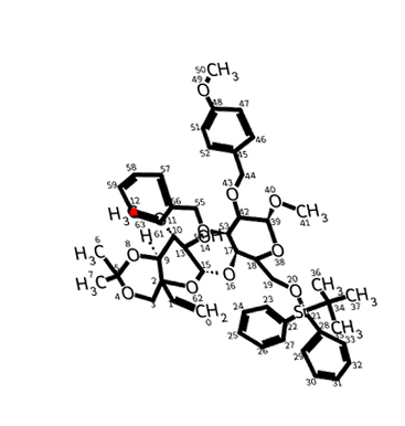 C=CC12COC(C)(C)O[C@H]1[C@H](OC)C(O)[C@H](O[C@@H]1C(CO[Si](c3ccccc3)(c3ccccc3)C(C)(C)C)O[C@H](OC)C(OCc3ccc(OC)cc3)[C@@H]1OCc1ccccc1)O2